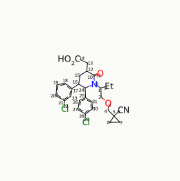 CCC(COCC1(C#N)CC1)N1C(=O)C(CC(=O)O)CC(c2cccc(Cl)c2)C1c1ccc(Cl)cc1